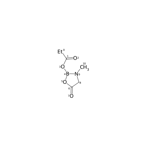 CCC(=O)OB1OC(=O)CN1C